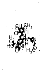 C=CC(O)N[C@H]1COC[C@H]1Nc1cc2c(NCc3cnn(CCOC)c3)nc(-c3c(Cl)c(OC)cc(OC)c3Cl)cc2cn1